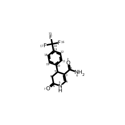 NC(=O)C1=CNC(=O)CC1c1ccc(C(F)(F)F)cc1